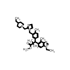 CCC1CCN(Cc2nccn2Cc2cc(C(c3ccc4c(nnn4CC)c3C)C(C)(C)C(=O)OC)ccc2C)CC1